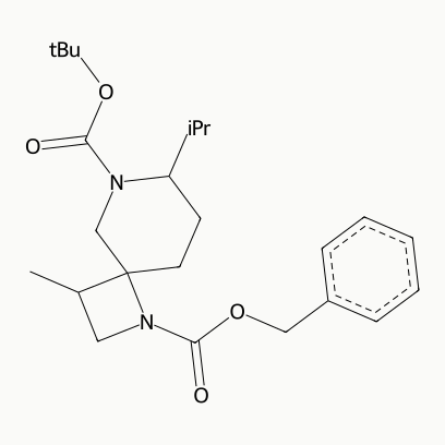 CC(C)C1CCC2(CN1C(=O)OC(C)(C)C)C(C)CN2C(=O)OCc1ccccc1